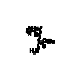 Cc1cc(CCN(CCN)C(=O)OC(C)(C)C)nc(-c2ncc[nH]2)n1